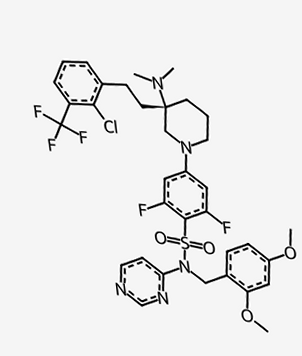 COc1ccc(CN(c2ccncn2)S(=O)(=O)c2c(F)cc(N3CCC[C@@](CCc4cccc(C(F)(F)F)c4Cl)(N(C)C)C3)cc2F)c(OC)c1